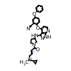 CN(C/C=C/C(=O)N1CC[C@@H](Nc2n[nH]c3nccc(Oc4ccc(Oc5ccccc5)cc4C#N)c23)C1)C1CC1